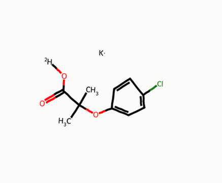 [2H]OC(=O)C(C)(C)Oc1ccc(Cl)cc1.[K]